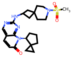 CS(=O)(=O)N1CCC2(CC1)CC(Nc1ncc3ccc(=O)n([C@H]4CCCC45CC5)c3n1)C2